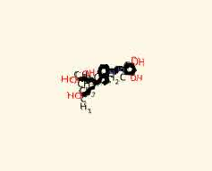 C=C1/C(=C\C=C2/CCC[C@@]3(C)C2CC[C@@H]3[C@@H](CCCC(C)(C)O)CC[C@@H](O)C(C)(C)O)C[C@@H](O)C[C@@H]1O